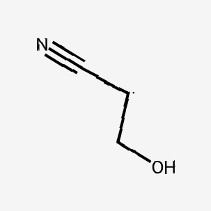 N#C[CH]CO